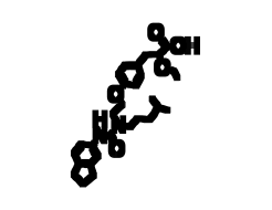 CCOC(Cc1ccc(OCCN(CCCC(C)C)C(=O)Nc2ccc3c(c2)CCC3)cc1)C(=O)O